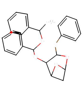 COC(OC(OC1C2CC(O2)OC1Sc1ccccc1)c1ccccc1)c1ccccc1